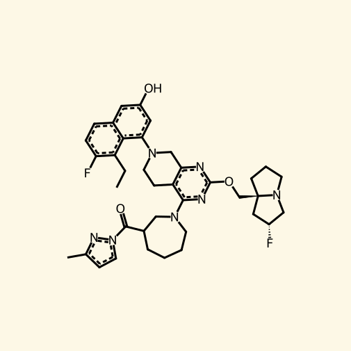 CCc1c(F)ccc2cc(O)cc(N3CCc4c(nc(OC[C@@]56CCCN5C[C@H](F)C6)nc4N4CCCCC(C(=O)n5ccc(C)n5)C4)C3)c12